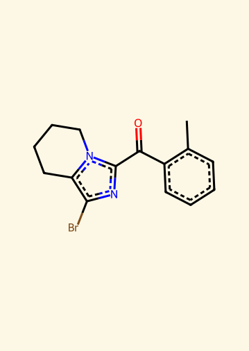 Cc1ccccc1C(=O)c1nc(Br)c2n1CCCC2